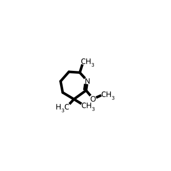 COC1=NC(C)CCCC1(C)C